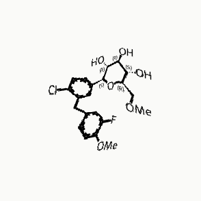 COC[C@H]1O[C@@H](c2ccc(Cl)c(Cc3ccc(OC)c(F)c3)c2)[C@H](O)[C@@H](O)[C@@H]1O